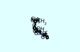 COc1cc(COc2ccc3oc(=O)c(-c4ccc(/C=C5\SC(=S)N(C6CC7CCC6C7)C5=O)o4)c(O)c3c2)cc(OC)c1